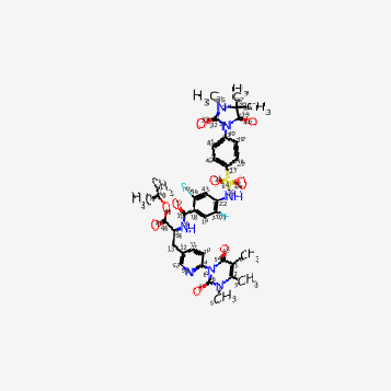 Cc1c(C)n(C)c(=O)n(-c2ccc(C[C@H](NC(=O)c3cc(F)c(NS(=O)(=O)c4ccc(N5C(=O)N(C)C(C)(C)C5=O)cc4)cc3F)C(=O)OC(C)C)cn2)c1=O